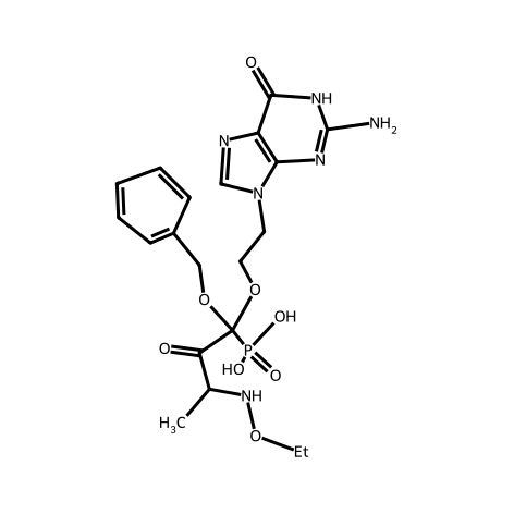 CCONC(C)C(=O)C(OCCn1cnc2c(=O)[nH]c(N)nc21)(OCc1ccccc1)P(=O)(O)O